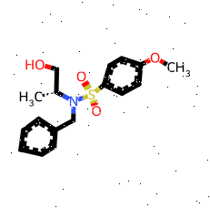 COc1ccc(S(=O)(=O)N(Cc2ccccc2)[C@H](C)CO)cc1